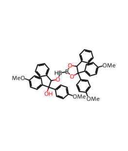 COc1ccc(C(O)(c2ccc(OC)cc2)C(OBB2OC(c3ccccc3)C(c3ccc(OC)cc3)(c3ccc(OC)cc3)O2)c2ccccc2)cc1